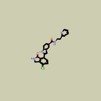 O=C(NCCc1ccccn1)c1ccc2[nH]c(-c3ccc(Cl)c4c3C(=O)NC4)cc2c1